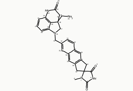 CN1C(=O)NC(=O)C12Cc1cc3ccc(CN4CC5(CN)CC(=O)Nc6cccc4c65)nc3cc1C2